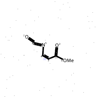 COC(=O)/C=C\N=C=O